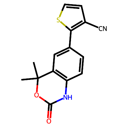 CC1(C)OC(=O)Nc2ccc(-c3sccc3C#N)cc21